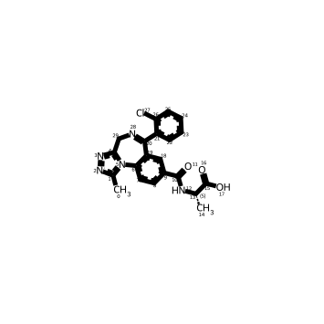 Cc1nnc2n1-c1ccc(C(=O)N[C@@H](C)C(=O)O)cc1C(c1ccccc1Cl)=NC2